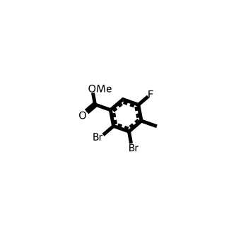 COC(=O)c1cc(F)c(C)c(Br)c1Br